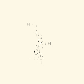 COCCC(=O)N1CCc2cc(OC)c(C(=O)Nc3cccc(-c4nncn4C(C)C)n3)cc2C1